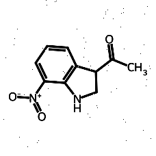 CC(=O)C1CNc2c1cccc2[N+](=O)[O-]